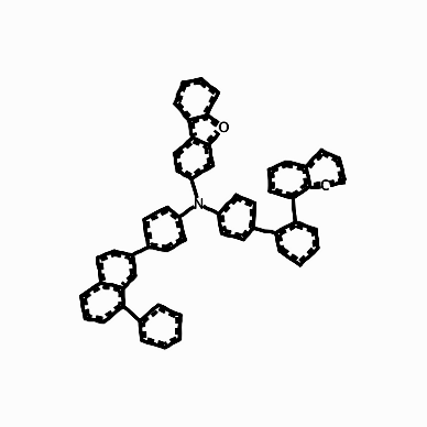 c1ccc(-c2cccc3ccc(-c4ccc(N(c5ccc(-c6ccccc6-c6cccc7ccccc67)cc5)c5ccc6c(c5)oc5ccccc56)cc4)cc23)cc1